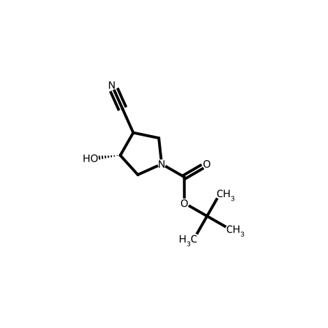 CC(C)(C)OC(=O)N1CC(C#N)[C@@H](O)C1